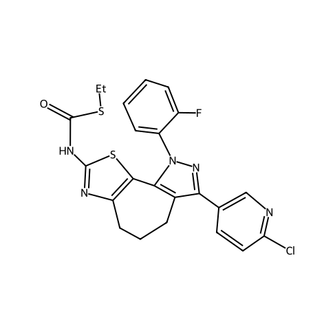 CCSC(=O)Nc1nc2c(s1)-c1c(c(-c3ccc(Cl)nc3)nn1-c1ccccc1F)CCC2